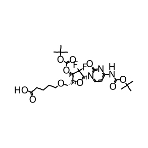 CC(C)(C)OC(=O)Nc1ccn([C@@H]2O[C@H](COCCCCC(=O)O)[C@@H](OC(=O)OC(C)(C)C)C2(F)F)c(=O)n1